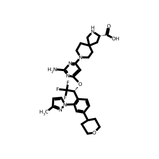 Cc1ccn(-c2cc(C3CCOCC3)ccc2[C@@H](Oc2cc(N3CCC4(CC3)CN[C@H](C(=O)O)C4)nc(N)n2)C(F)(F)F)n1